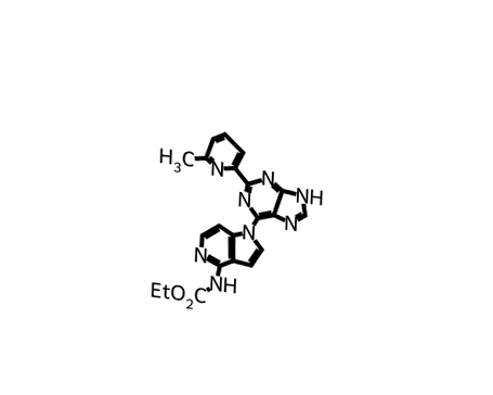 CCOC(=O)Nc1nccc2c1ccn2-c1nc(-c2cccc(C)n2)nc2[nH]cnc12